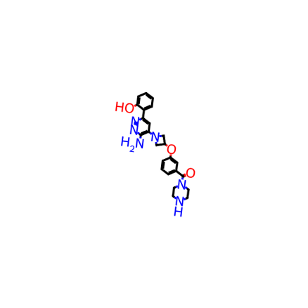 Nc1nnc(-c2ccccc2O)cc1N1CC(Oc2cccc(C(=O)N3CCNCC3)c2)C1